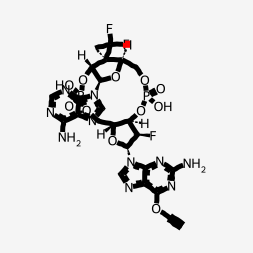 C#COc1nc(N)nc2c1ncn2[C@@H]1O[C@@H]2COP(=O)(O)O[C@H]3[C@H](n4cnc5c(N)ncnc54)O[C@H](COP(=O)(O)O[C@H]2[C@H]1F)[C@@]31CC1(F)F